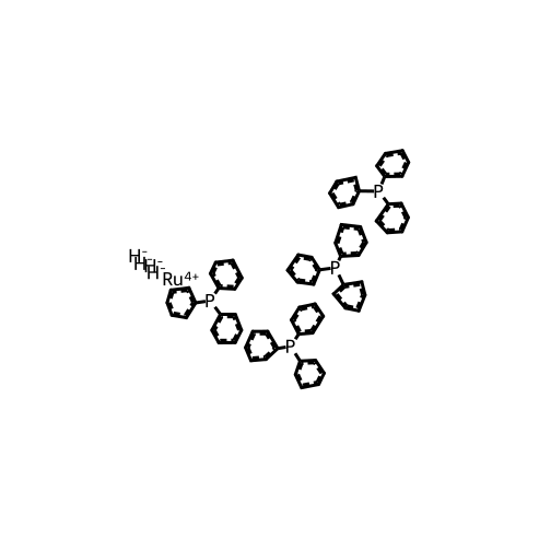 [H-].[H-].[H-].[H-].[Ru+4].c1ccc(P(c2ccccc2)c2ccccc2)cc1.c1ccc(P(c2ccccc2)c2ccccc2)cc1.c1ccc(P(c2ccccc2)c2ccccc2)cc1.c1ccc(P(c2ccccc2)c2ccccc2)cc1